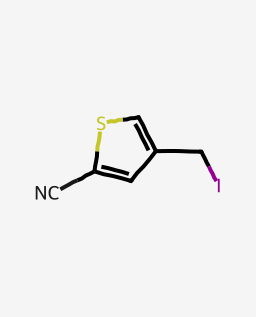 N#Cc1cc(CI)cs1